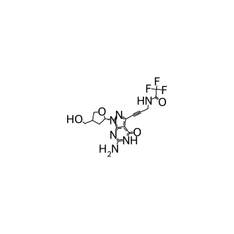 Nc1nc2c(c(C#CCNC(=O)C(F)(F)F)nn2[C@H]2CC(CO)CO2)c(=O)[nH]1